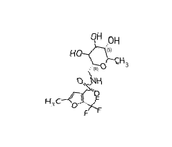 Cc1cc(S(=O)(=O)NC[C@H]2OC(C)[C@@H](O)C(O)C2O)c(C(F)(F)F)o1